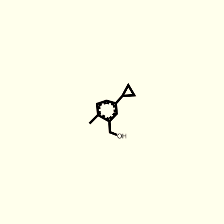 Cc1ccc(C2CC2)cc1CO